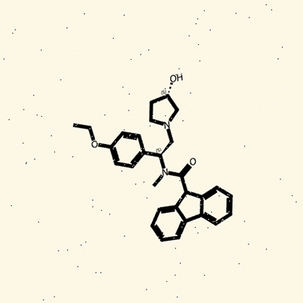 CCOc1ccc([C@@H](CN2CC[C@H](O)C2)N(C)C(=O)C2c3ccccc3-c3ccccc32)cc1